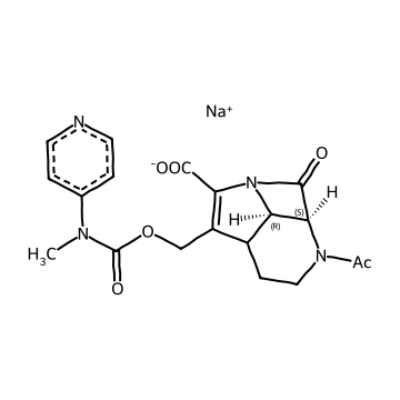 CC(=O)N1CCC2C(COC(=O)N(C)c3ccncc3)=C(C(=O)[O-])N3C(=O)[C@@H]1[C@@H]23.[Na+]